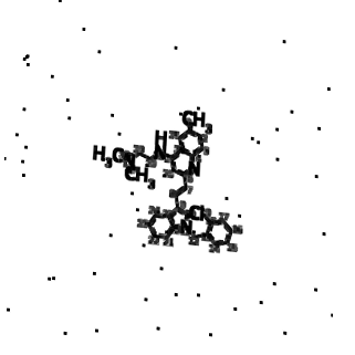 Cc1ccc2nc(C=Cc3cn(Cc4ccccc4Cl)c4ccccc34)cc(NCCN(C)C)c2c1